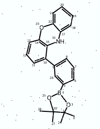 CC1(C)OB(c2cccc(-c3cccc4c3Nc3ccccc3O4)c2)OC1(C)C